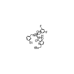 CCc1cccc(CNC[C@@](O)(CNC(=O)c2nc(CC(C)(C)C)ccc2O)Cc2cc(F)cc(F)c2)c1